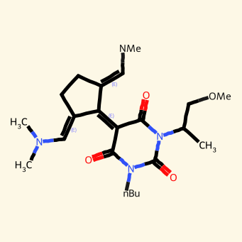 CCCCN1C(=O)/C(=C2C(=C/NC)/CCC/2=C\N(C)C)C(=O)N(C(C)COC)C1=O